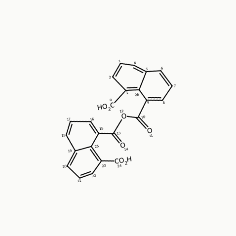 O=C(O)c1cccc2cccc(C(=O)OC(=O)c3cccc4cccc(C(=O)O)c34)c12